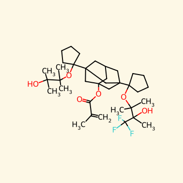 C=C(C)C(=O)OC12CC3CC(C4(OC(C)(C)C(C)(C)O)CCCC4)(C1)CC(C1(OC(C)(C)C(C)(O)C(F)(F)F)CCCC1)(C3)C2